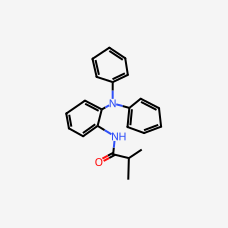 CC(C)C(=O)Nc1ccccc1N(c1ccccc1)c1ccccc1